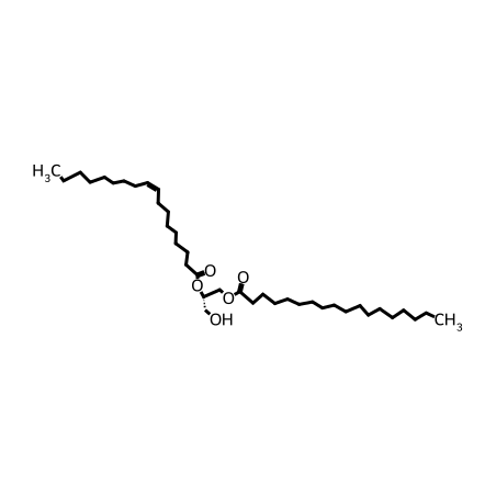 CCCCCCCC/C=C\CCCCCCCC(=O)O[C@@H](CO)COC(=O)CCCCCCCCCCCCCCCCC